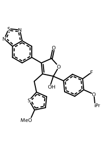 COc1ccc(CC2=C(c3ccc4nsnc4c3)C(=O)OC2(O)c2ccc(OC(C)C)c(F)c2)s1